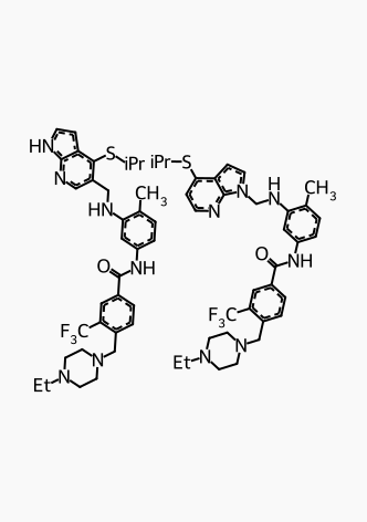 CCN1CCN(Cc2ccc(C(=O)Nc3ccc(C)c(NCc4cnc5[nH]ccc5c4SC(C)C)c3)cc2C(F)(F)F)CC1.CCN1CCN(Cc2ccc(C(=O)Nc3ccc(C)c(NCn4ccc5c(SC(C)C)ccnc54)c3)cc2C(F)(F)F)CC1